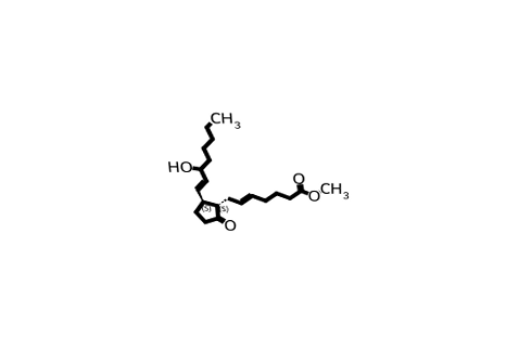 CCCCCC(O)C=C[C@@H]1CCC(=O)[C@H]1CC=CCCCC(=O)OC